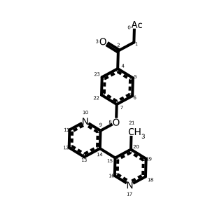 CC(=O)CC(=O)c1ccc(Oc2ncccc2-c2cnccc2C)cc1